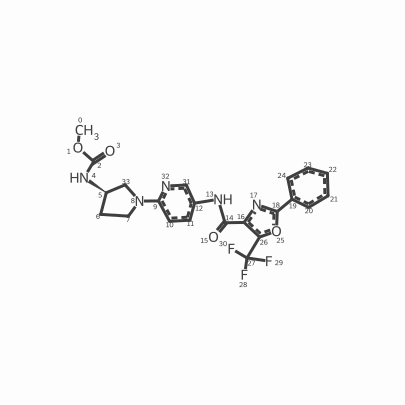 COC(=O)N[C@@H]1CCN(c2ccc(NC(=O)c3nc(-c4ccccc4)oc3C(F)(F)F)cn2)C1